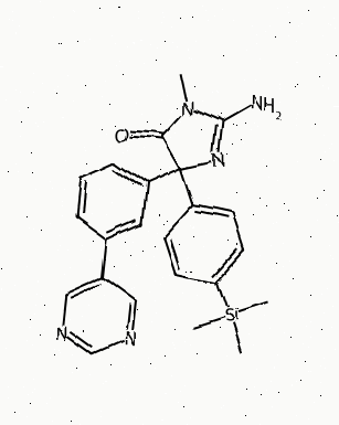 CN1C(=O)C(c2ccc([Si](C)(C)C)cc2)(c2cccc(-c3cncnc3)c2)N=C1N